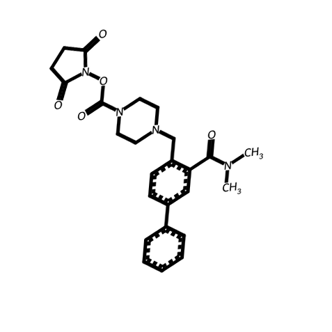 CN(C)C(=O)c1cc(-c2ccccc2)ccc1CN1CCN(C(=O)ON2C(=O)CCC2=O)CC1